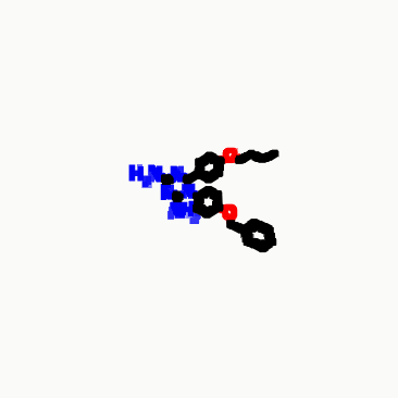 CCCCOc1ccc(C2N=C(N)N=C(N)N2c2ccc(OCc3ccccc3)cc2)cc1